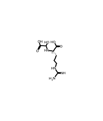 N=C(N)NCCC[C@H](NC(O)C(=O)O)C(=O)O